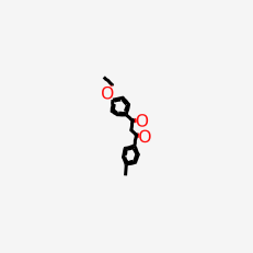 CCOc1ccc(C(=O)CC(=O)c2ccc(C)cc2)cc1